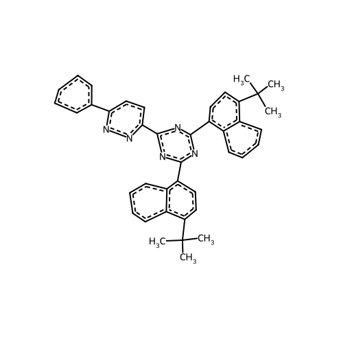 CC(C)(C)c1ccc(-c2nc(-c3ccc(-c4ccccc4)nn3)nc(-c3ccc(C(C)(C)C)c4ccccc34)n2)c2ccccc12